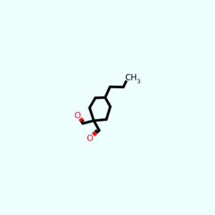 CCCC1CCC(C=O)(C=O)CC1